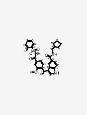 COc1cc(C(=O)NS(=O)(=O)c2ccccc2C)ccc1C(C)c1c[nH]c2ccc(C(=O)NCC3CCCC3)cc12